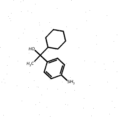 CC(O)(c1ccc([SiH3])cc1)C1CCCCC1